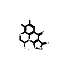 C[C@H]1COc2c(F)c(F)cc3c(=O)c4c(=O)[nH]sc4n1c23